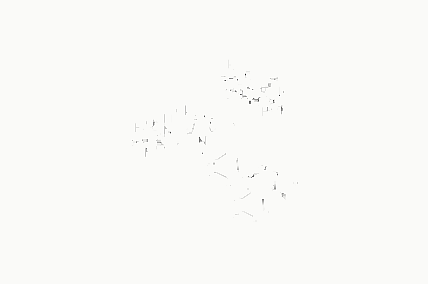 CCCCc1nc(Cl)c(CNS(=O)(=O)C(F)(F)F)n1Cc1ccc(C(=O)c2ccccc2C(=O)OC)cc1.O=S(=O)(OS(=O)(=O)C(F)(F)F)C(F)(F)F